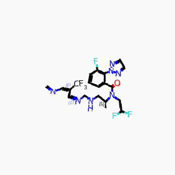 C=N/C=C(\C=N/CNC[C@H](C)N(CC(F)F)C(=O)c1cccc(F)c1-n1nccn1)C(F)(F)F